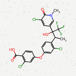 CC(c1ccc(Oc2ccc(C(=O)O)c(Cl)c2)cc1Cl)C(O)(c1cc(Cl)c(=O)n(C)c1)C(F)(F)F